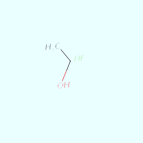 CCO.F